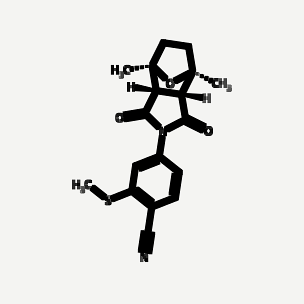 CSc1cc(N2C(=O)[C@@H]3[C@H](C2=O)[C@@]2(C)CC[C@]3(C)O2)ccc1C#N